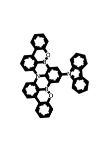 c1ccc2c(c1)OB1c3cc(-n4c5ccccc5c5ccccc54)cc4c3N(c3cccc-2c31)c1cccc2c1B4Oc1ccccc1-2